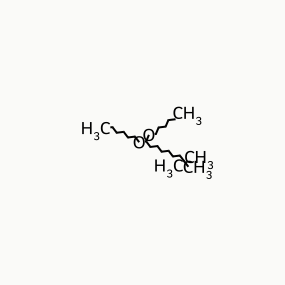 CCCCCCOC(CCCCCCC(C)(C)C)OCCCCCC